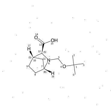 CC(C)(C)OCN1[C@@H]2CC[C@@H](C2)[C@H]1C(=O)O